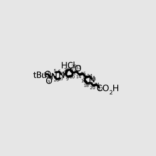 CC(C)(C)OC(=O)N1CCN(c2ccc(C(=O)/C=C/c3ccc(/C=C/C(=O)O)nc3)cc2)CC1.Cl